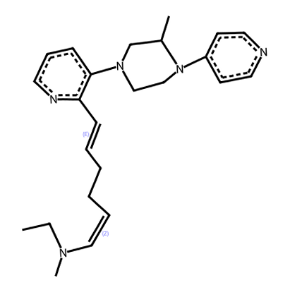 CCN(C)/C=C\CC/C=C/c1ncccc1N1CCN(c2ccncc2)C(C)C1